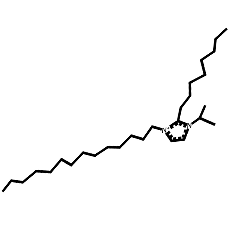 CCCCCCCCCCCCCC[n+]1ccn(C(C)C)c1CCCCCCCC